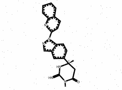 CN1C(=N)N[C@](C)(c2ccc3c(cnn3-c3ccc4ccccc4n3)c2)CC1=O